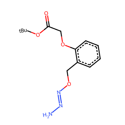 CC(C)(C)OC(=O)COc1ccccc1CON=NN